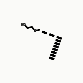 C=C.C=C.C=C.C=C.C=C.C=C.C=C.C=C.C=C.C=C.COCCO